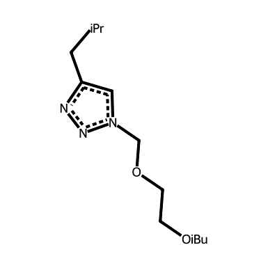 CC(C)COCCOCn1cc(CC(C)C)nn1